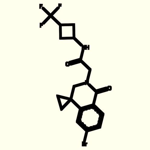 O=C(CN1CC2(CC2)c2cc(Br)ccc2C1=O)NC1CC(C(F)(F)F)C1